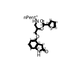 CCCCCNCC(COc1cccc2c1CC(=O)N2)OC(=O)c1cccs1